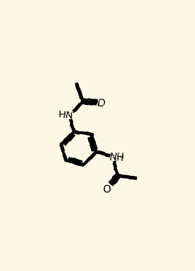 CC(=O)Nc1cccc(NC(C)=O)c1